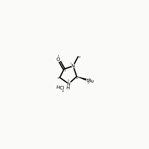 CN1C(=O)CN[C@@H]1C(C)(C)C.Cl